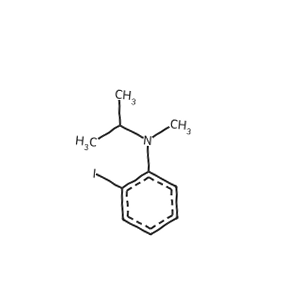 CC(C)N(C)c1ccccc1I